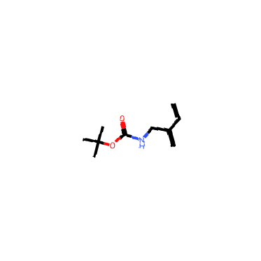 C=CC(=C)CNC(=O)OC(C)(C)C